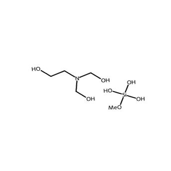 CO[Si](O)(O)O.OCCN(CO)CO